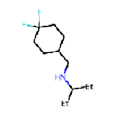 CCC(CC)NCC1CCC(F)(F)CC1